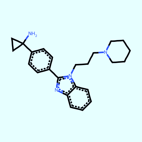 NC1(c2ccc(-c3nc4ccccc4n3CCCN3CCCCC3)cc2)CC1